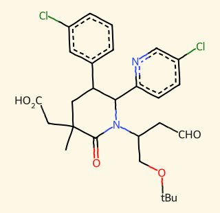 CC(C)(C)OCC(CC=O)N1C(=O)C(C)(CC(=O)O)CC(c2cccc(Cl)c2)C1c1ccc(Cl)cn1